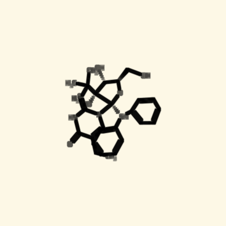 CCc1cn([C@]2([SiH](c3ccccc3)c3ccccc3)O[C@H](CO)[C@@H](O)[C@]2(O)C(C)(C)C)c(=O)[nH]c1=O